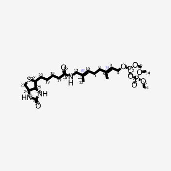 COP(OC/C=C(\C)CC/C=C(\C)CNC(=O)CCCCC1SCC2NC(=O)NC21)OP(=O)(OC)OC